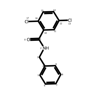 O=C(NCc1ccccc1)c1cc(Cl)ccc1Cl